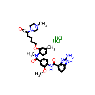 COc1cc(C(=O)N(C)c2ccc(C)cc2OCCCCC(=C=O)N2CCN(C)CC2)ccc1NC(=O)c1cccc2[nH]c(N)nc12.Cl.Cl